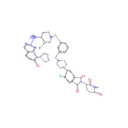 O=C1CCC(N2C(=O)c3cc(F)c(N4CCN(Cc5cccc(SN6CCC(Nc7ncc8ccc(=O)n(C9CCCC9)c8n7)C(F)C6)c5)CC4)cc3C2=O)C(=O)N1